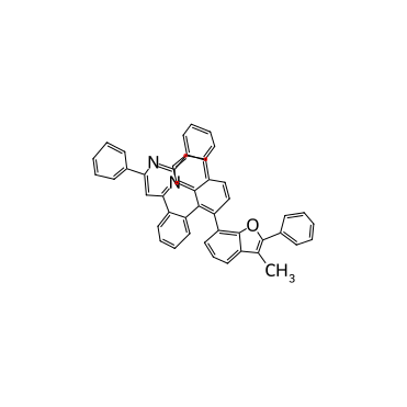 Cc1c(-c2ccccc2)oc2c(-c3ccc4ccccc4c3-c3ccccc3-c3cc(-c4ccccc4)nc(-c4ccccc4)n3)cccc12